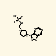 O=S(=O)(O)NC[C@@H]1CC[C@H](n2nnc3cncnc32)C1